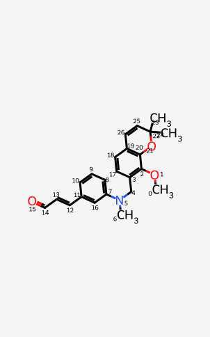 COc1c(CN(C)c2cccc(/C=C/C=O)c2)ccc2c1OC(C)(C)C=C2